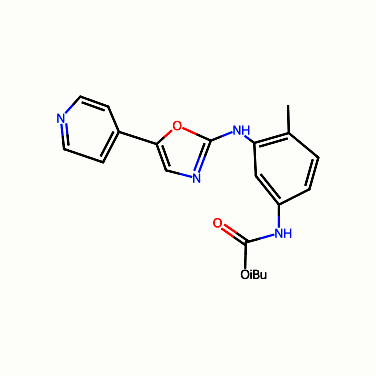 Cc1ccc(NC(=O)OCC(C)C)cc1Nc1ncc(-c2ccncc2)o1